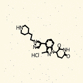 Cc1nn(C2CCC(=O)NC2=O)c2cccc(-c3cnn(CCC4CCNCC4)c3)c12.Cl